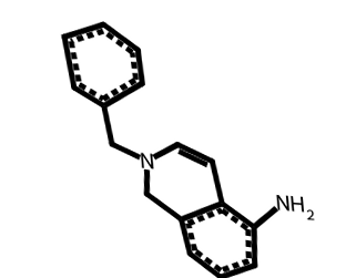 Nc1cccc2c1C=CN(Cc1ccccc1)C2